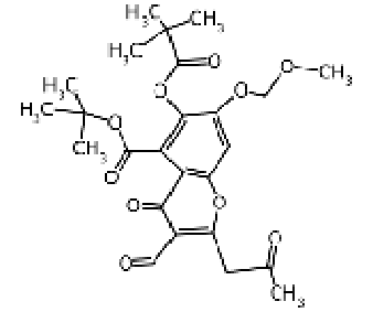 COCOc1cc2oc(CC(C)=O)c(C=O)c(=O)c2c(C(=O)OC(C)(C)C)c1OC(=O)C(C)(C)C